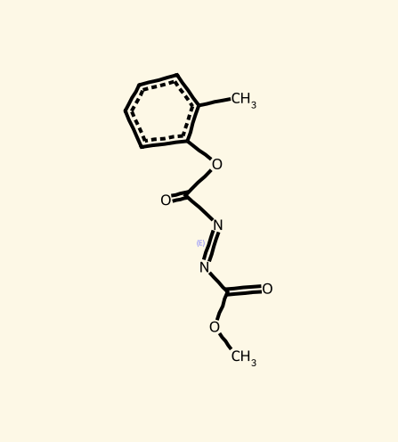 COC(=O)/N=N/C(=O)Oc1ccccc1C